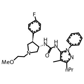 CCCc1nn(-c2ccccc2)c(NC(=O)N[C@@H]2CN(CCOC)C[C@H]2c2ccc(F)cc2)c1C